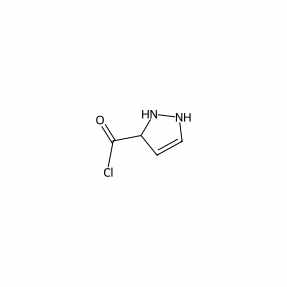 O=C(Cl)C1C=CNN1